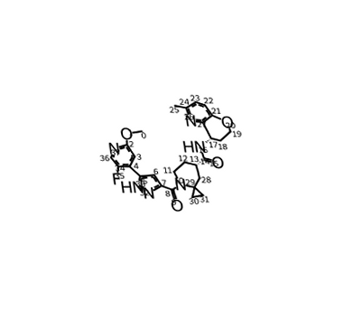 COc1cc(-c2cc(C(=O)N3CC[C@H](C(=O)N[C@H]4CCOc5ccc(C)nc54)CC34CC4)n[nH]2)c(F)cn1